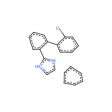 Clc1ccccc1-c1ccccc1-c1ncc[nH]1.[c]1ccccc1